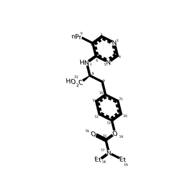 CCCc1cncnc1N[C@@H](Cc1ccc(OC(=O)N(CC)CC)cc1)C(=O)O